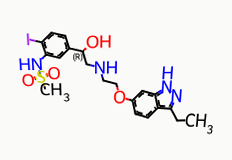 CCc1n[nH]c2cc(OCCNC[C@H](O)c3ccc(I)c(NS(C)(=O)=O)c3)ccc12